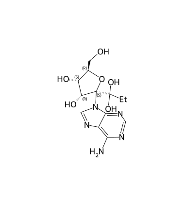 CCC(O)(O)[C@@]1(n2cnc3c(N)ncnc32)O[C@H](CO)[C@@H](O)[C@H]1O